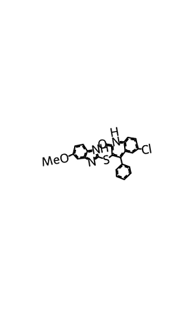 COc1ccc2[nH]c(Sc3c(-c4ccccc4)c4cc(Cl)ccc4[nH]c3=O)nc2c1